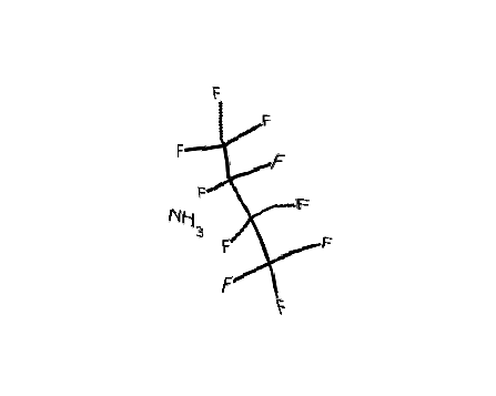 FC(F)(F)C(F)(F)C(F)(F)C(F)(F)F.N